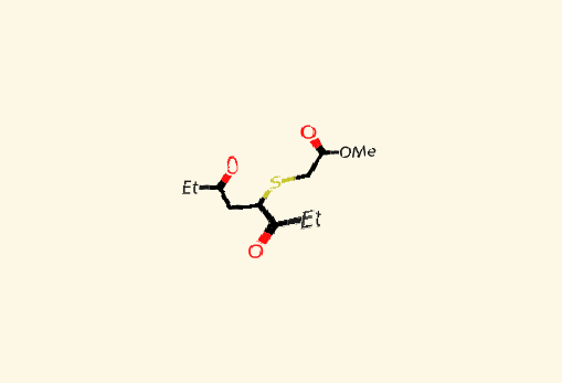 CCC(=O)CC(SCC(=O)OC)C(=O)CC